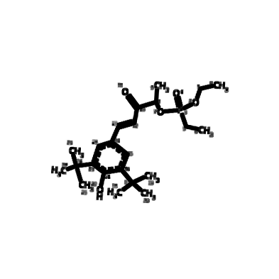 CCOP(=O)(CC)OC(C)C(=O)C=Cc1cc(C(C)(C)C)c(O)c(C(C)(C)C)c1